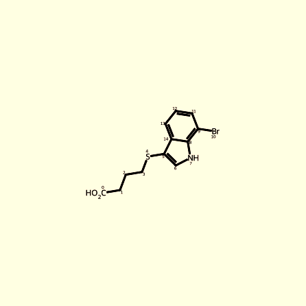 O=C(O)CCCSc1c[nH]c2c(Br)cccc12